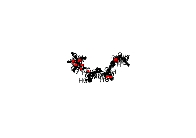 C=CCOC(=O)N[C@H](C(=O)N[C@@H](C)C(=O)Nc1ccc(COC(=O)Nc2cc(OCc3cccc(COc4cc(NC(=O)OCc5ccc(O[C@@H]6O[C@H](C(=O)OCC=C)[C@@H](OC(=O)OCC=C)[C@H](OC(=O)OCC=C)[C@H]6OC(=O)OCC=C)c([N+](=O)[O-])c5)c(C(=O)N5CCC[C@H]5CO)cc4OC)c3)c(OC)cc2C(=O)N2CCC[C@H]2CO)cc1)C(C)C